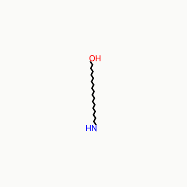 CNCCCCCCCCCCCCCCCCCCCCO